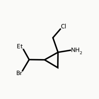 CCC(Br)C1CC1(N)CCl